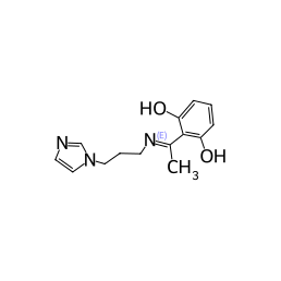 C/C(=N\CCCn1ccnc1)c1c(O)cccc1O